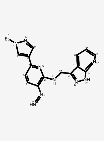 CCn1cc(-c2ccc(N=N)c(NCc3n[nH]c4ncccc34)n2)cn1